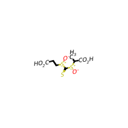 CC(C(=O)O)[S+]([O-])C(=S)[S+]([O-])CCC(=O)O